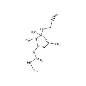 C#CCNC1(C)C=C(C)C=C(OC(=O)NC)C1C